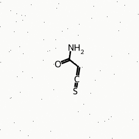 NC(=O)C=C=S